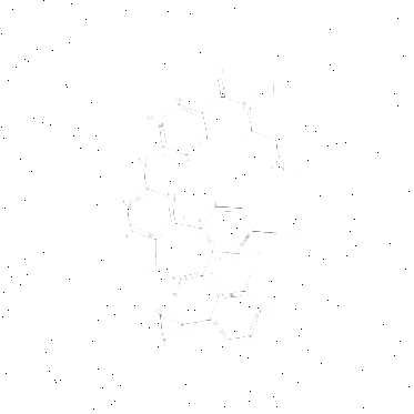 CN(CCN)C(=O)c1ccc(Nc2ncc3c(n2)-c2ccc(Cl)cc2C(c2c(F)cccc2C2CC2)=NC3)cc1